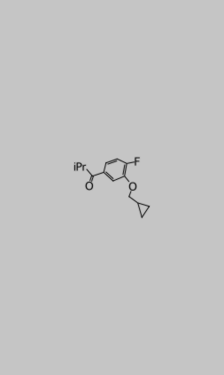 CC(C)C(=O)c1ccc(F)c(OCC2CC2)c1